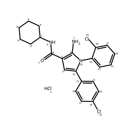 Cl.Nc1c(C(=O)NC2CCCCC2)cc(-c2ccc(Cl)cc2)n1-c1ccccc1Cl